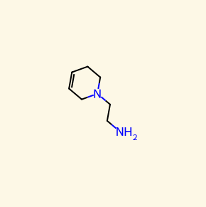 NCCN1CC=CCC1